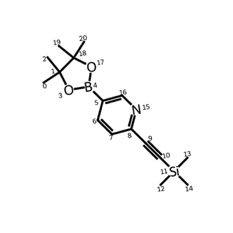 CC1(C)OB(c2ccc(C#C[Si](C)(C)C)nc2)OC1(C)C